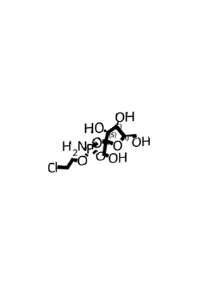 NP(=O)(OCCCl)OC1(CO)O[C@H](CO)[C@@H](O)[C@@H]1O